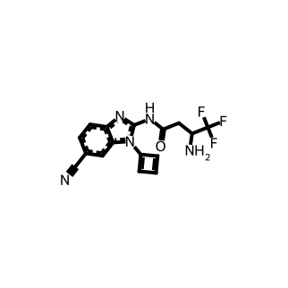 N#Cc1ccc2nc(NC(=O)CC(N)C(F)(F)F)n(C3=CC=C3)c2c1